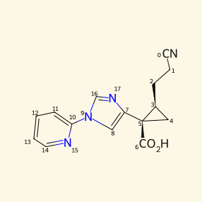 N#CCC[C@H]1C[C@]1(C(=O)O)c1cn(-c2ccccn2)cn1